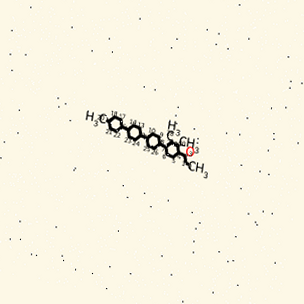 CCC(=O)C1CCC(C2CCC(C3CCC(C4CCC(C)CC4)CC3)CC2)C(C)C1C